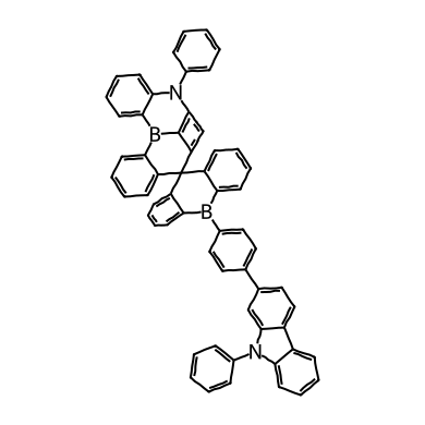 c1ccc(N2c3ccccc3B3c4ccccc4C4(c5ccccc5B(c5ccc(-c6ccc7c8ccccc8n(-c8ccccc8)c7c6)cc5)c5ccccc54)c4cccc2c43)cc1